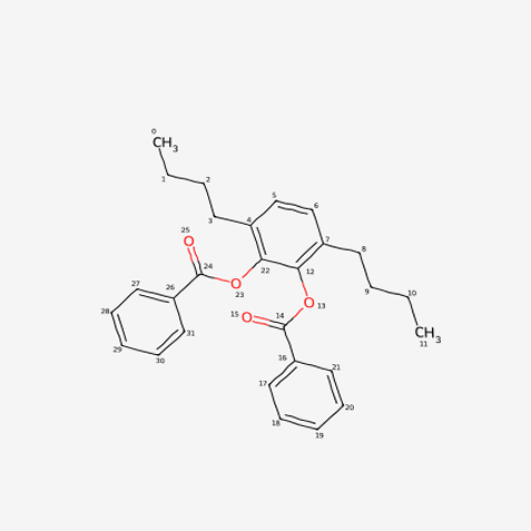 CCCCc1ccc(CCCC)c(OC(=O)c2ccccc2)c1OC(=O)c1ccccc1